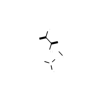 O=C(O)C(=O)O.OB(O)O.[Li][F]